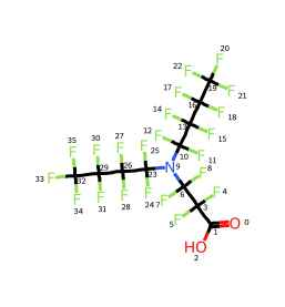 O=C(O)C(F)(F)C(F)(F)N(C(F)(F)C(F)(F)C(F)(F)C(F)(F)F)C(F)(F)C(F)(F)C(F)(F)C(F)(F)F